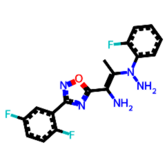 C/C(=C(/N)c1nc(-c2cc(F)ccc2F)no1)N(N)c1ccccc1F